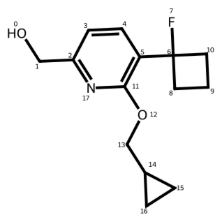 OCc1ccc(C2(F)CCC2)c(OCC2CC2)n1